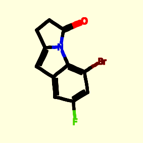 O=C1CCc2cc3cc(F)cc(Br)c3n21